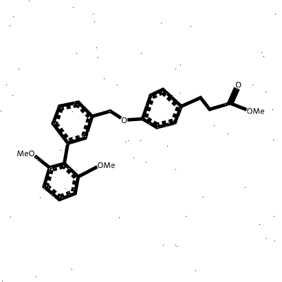 COC(=O)CCc1ccc(OCc2cccc(-c3c(OC)cccc3OC)c2)cc1